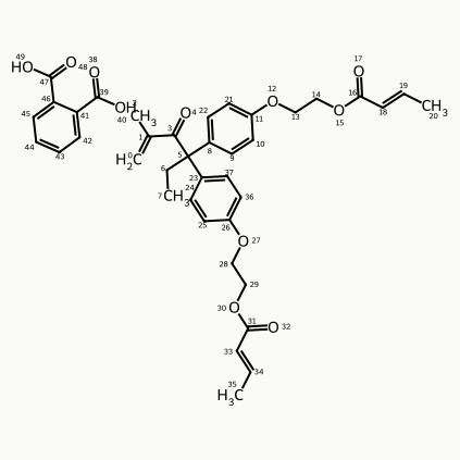 C=C(C)C(=O)C(CC)(c1ccc(OCCOC(=O)C=CC)cc1)c1ccc(OCCOC(=O)C=CC)cc1.O=C(O)c1ccccc1C(=O)O